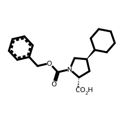 O=C(O)[C@H]1C[C@H](C2CCCCC2)CN1C(=O)OCc1ccccc1